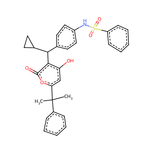 CC(C)(c1ccccc1)c1cc(O)c(C(c2ccc(NS(=O)(=O)c3ccccc3)cc2)C2CC2)c(=O)o1